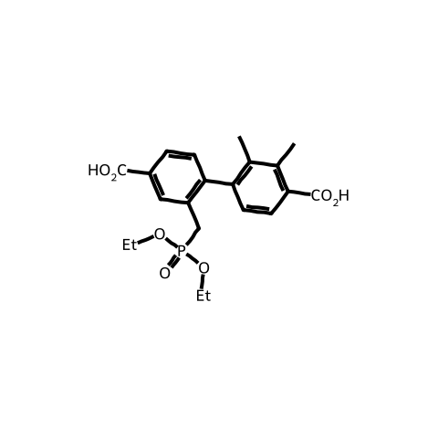 CCOP(=O)(Cc1cc(C(=O)O)ccc1-c1ccc(C(=O)O)c(C)c1C)OCC